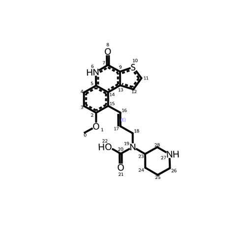 COc1ccc2[nH]c(=O)c3sccc3c2c1/C=C/CN(C(=O)O)C1CCCNC1